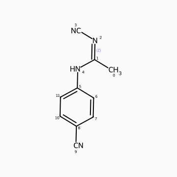 C/C(=N/C#N)Nc1ccc(C#N)cc1